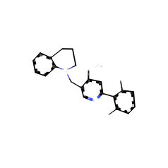 CCc1cccc(CC)c1-c1cc(OC)c(CN2CCCc3ccccc32)cn1